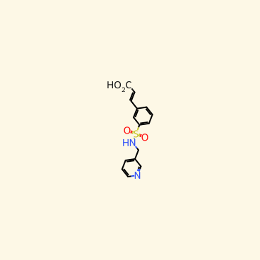 O=C(O)/C=C/c1cccc(S(=O)(=O)NCc2cccnc2)c1